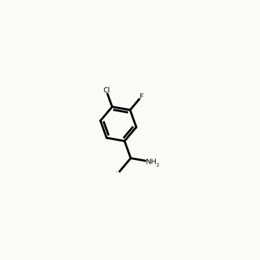 [CH2]C(N)c1ccc(Cl)c(F)c1